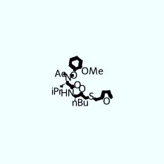 CCCC[C@H](NC(=O)[C@H](CC(C)C)N(Oc1ccccc1OC)C(C)=O)C(=O)CSCc1ccco1